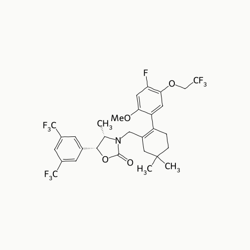 COc1cc(F)c(OCC(F)(F)F)cc1C1=C(CN2C(=O)O[C@H](c3cc(C(F)(F)F)cc(C(F)(F)F)c3)[C@@H]2C)CC(C)(C)CC1